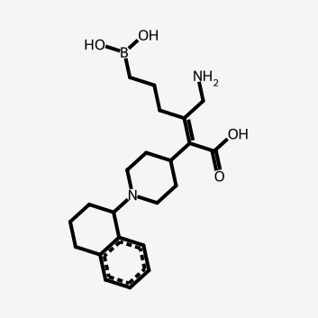 NC/C(CCCB(O)O)=C(\C(=O)O)C1CCN(C2CCCc3ccccc32)CC1